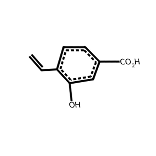 C=Cc1ccc(C(=O)O)cc1O